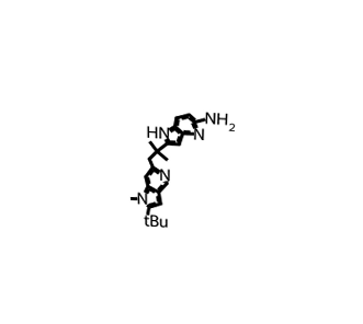 Cn1c(C(C)(C)C)cc2cnc(CC(C)(C)c3cc4nc(N)ccc4[nH]3)cc21